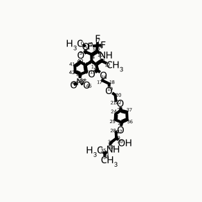 COC(=O)C1=C(C(F)(F)F)NC(C)=C(C(=O)OCCOCCOc2ccc(OCC(O)CNC(C)C)cc2)C1c1cccc([N+](=O)[O-])c1